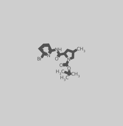 CC1CC(C(=O)Nc2cccc(Br)n2)N(C(=O)OC(C)(C)C)C1